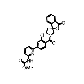 COC(=O)Nc1cccc(-c2ccc(C(=O)N3CC[C@@]4(C3)OC(=O)c3ccccc34)c(Cl)c2)n1